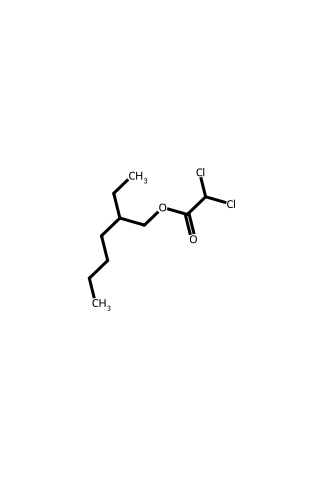 CCCCC(CC)COC(=O)C(Cl)Cl